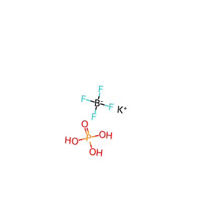 F[B-](F)(F)F.O=P(O)(O)O.[K+]